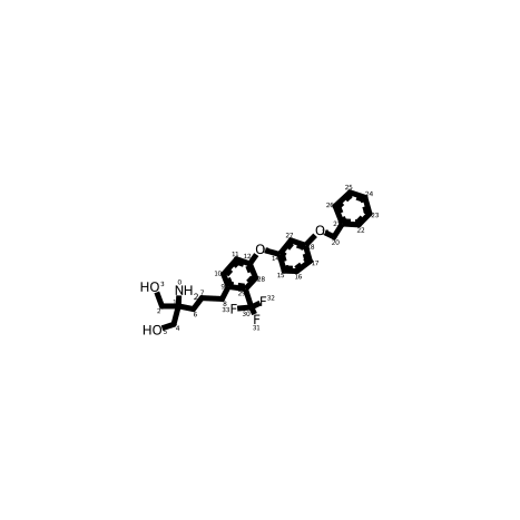 NC(CO)(CO)CCCc1ccc(Oc2cccc(OCc3ccccc3)c2)cc1C(F)(F)F